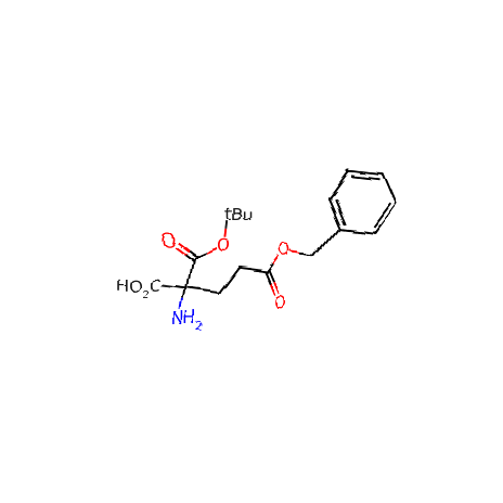 CC(C)(C)OC(=O)C(N)(CCC(=O)OCc1ccccc1)C(=O)O